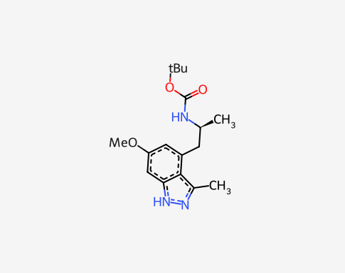 COc1cc(C[C@H](C)NC(=O)OC(C)(C)C)c2c(C)n[nH]c2c1